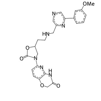 COc1cccc(-c2cncc(CNCCC3CN(c4ccc5c(n4)NC(=O)CO5)C(=O)O3)n2)c1